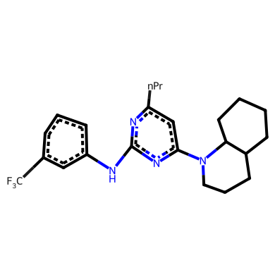 CCCc1cc(N2CCCC3CCCCC32)nc(Nc2cccc(C(F)(F)F)c2)n1